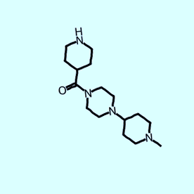 CN1CCC(N2CCN(C(=O)C3CCNCC3)CC2)CC1